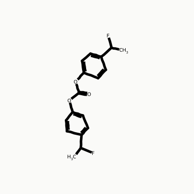 CC(F)c1ccc(OC(=O)Oc2ccc(C(C)F)cc2)cc1